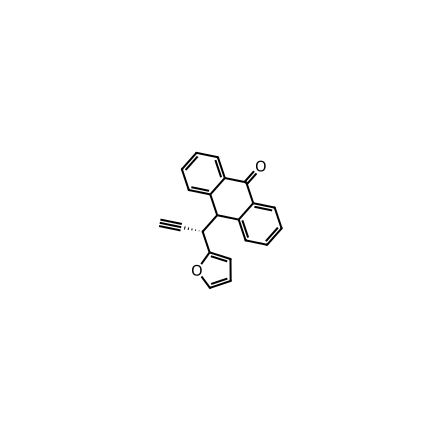 C#C[C@@H](c1ccco1)C1c2ccccc2C(=O)c2ccccc21